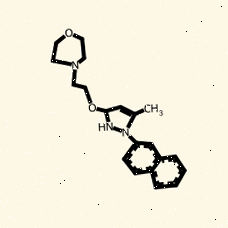 CC1=CC(OCCN2CCOCC2)NN1c1ccc2ccccc2c1